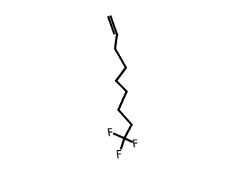 C=CCCCCCCC(F)(F)F